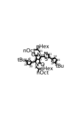 CCCCCCCCC(CCCCCC)CN1C(=O)C2=C(c3ncc(-c4ccc(C(C)(C)C)s4)s3)N(CC(CCCCCC)CCCCCCCC)C(=O)C2=C1c1ccc(C(C)(C)C)s1